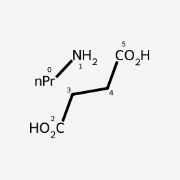 CCCN.O=C(O)CCC(=O)O